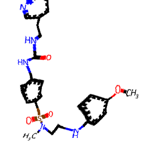 COc1ccc(NCCN(C)S(=O)(=O)c2ccc(NC(=O)NCc3cccnc3)cc2)cc1